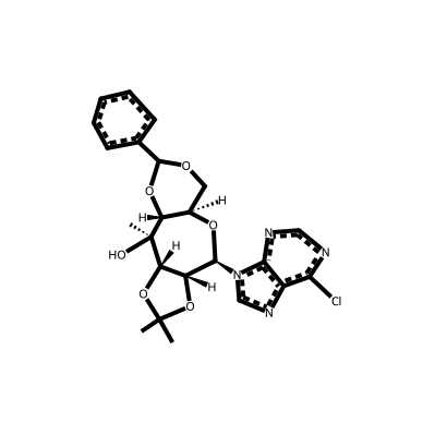 CC1(C)O[C@H]2[C@H](n3cnc4c(Cl)ncnc43)O[C@@H]3COC(c4ccccc4)O[C@H]3[C@](C)(O)[C@H]2O1